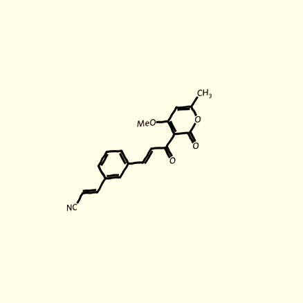 COc1cc(C)oc(=O)c1C(=O)C=Cc1cccc(C=CC#N)c1